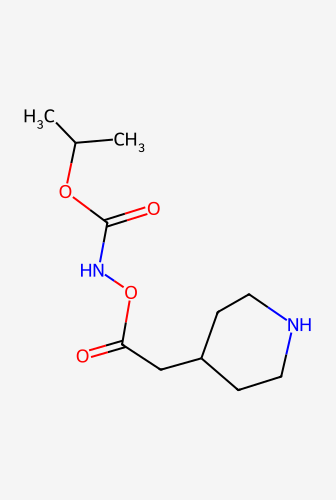 CC(C)OC(=O)NOC(=O)CC1CCNCC1